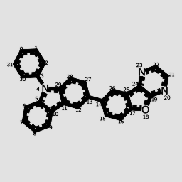 c1ccc(-n2c3ccccc3c3cc(-c4ccc5oc6nccnc6c5c4)ccc32)cc1